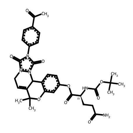 CC(=O)c1ccc(-n2c(=O)n3n(c2=O)C2C(=CC3)C(C)(C)Oc3cc(OC(=O)[C@H](CCC(N)=O)NC(=O)OC(C)(C)C)ccc32)cc1